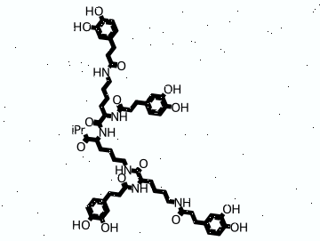 CC(C)C(=O)C(CCCCNC(=O)C(CCCCNC(=O)CCc1ccc(O)c(O)c1)NC(=O)CCc1ccc(O)c(O)c1)NC(=O)C(CCCCNC(=O)CCc1ccc(O)c(O)c1)NC(=O)CCc1ccc(O)c(O)c1